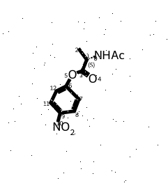 CC(=O)N[C@@H](C)C(=O)Oc1ccc([N+](=O)[O-])cc1